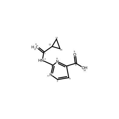 C=C(Nc1nccc(C(=O)O)n1)C1CC1